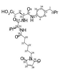 CC(C)Cc1ccc(NC(=O)[C@H](CCC(=O)O)NC(=O)[C@@H](NC(=O)CCCCCN2C(=O)C=CC2=O)C(C)C)cc1